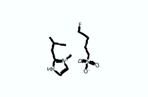 CC(C)Cc1[nH]cc[n+]1C.O=S(=O)([O-])CCCCF